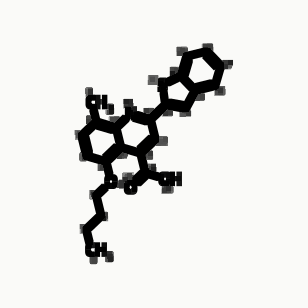 CCCCOc1ccc(C)c2nc(-c3cc4ccccc4s3)cc(C(=O)O)c12